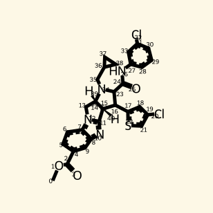 COC(=O)c1ccc2c(c1)nc1n2C[C@H]2[C@@H]1C(c1cc(Cl)cs1)C(C(=O)Nc1cccc(Cl)c1)N2CC1CC1